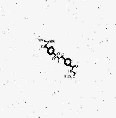 CCCCN(CCCC)C(=O)c1ccc(S(=O)(=O)NC(=O)c2ccc(C(=O)NCC(=O)OCC)nc2)cc1